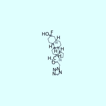 C[C@]12CC[C@H]3[C@@H](CC[C@H]4C[C@@](O)(F)CC[C@@H]43)[C@@H]1CC[C@@H]2C(=O)Cn1ncnn1